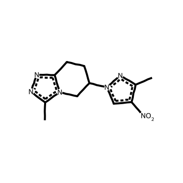 Cc1nn(C2CCc3nnc(C)n3C2)cc1[N+](=O)[O-]